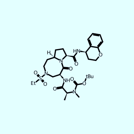 CCS(=O)(=O)N1CC[C@H]2CC[C@@H](C(=O)N[C@@H]3CCOc4ccccc43)N2C(=O)[C@@H](NC(=O)[C@H](C)N(C)C(=O)OC(C)(C)C)C1